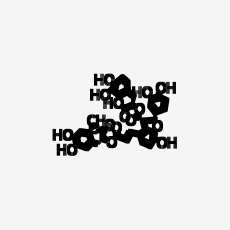 COC(=O)[C@@H](Cc1ccc(O)c(O)c1)OC(=O)/C=C/c1ccc(O)c2c1[C@H](C(=O)O[C@H](Cc1ccc(O)c(O)c1)C(=O)O)[C@@H](c1ccc(O)c(O)c1)O2